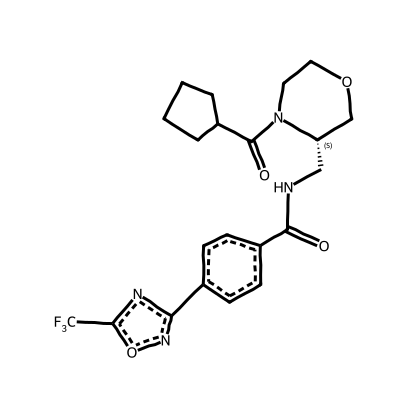 O=C(NC[C@H]1COCCN1C(=O)C1CCCC1)c1ccc(-c2noc(C(F)(F)F)n2)cc1